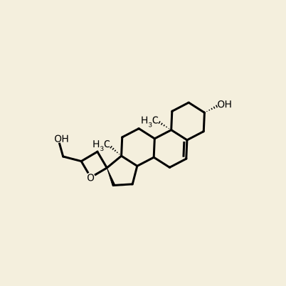 C[C@]12CC[C@H](O)CC1=CCC1C2CC[C@@]2(C)C1CC[C@@]21CC(CO)O1